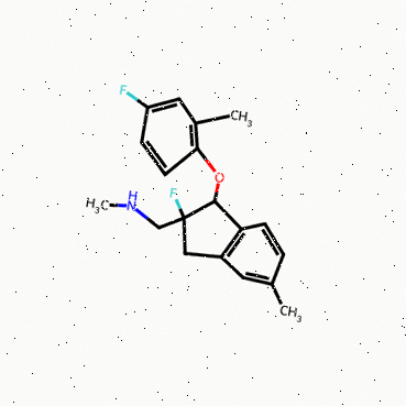 CNCC1(F)Cc2cc(C)ccc2C1Oc1ccc(F)cc1C